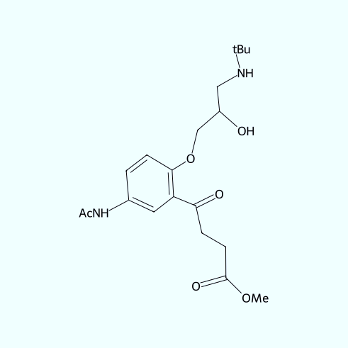 COC(=O)CCC(=O)c1cc(NC(C)=O)ccc1OCC(O)CNC(C)(C)C